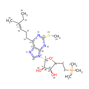 C=P(C)(C)CCC1O[C@@H](n2cnc3c(CC/C=C(/C)CC)nc(SC)nc32)[C@H](O)[C@@H]1O